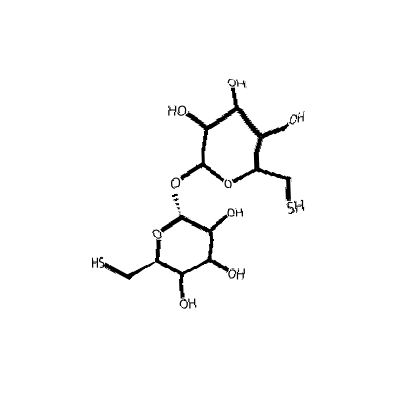 OC1C(CS)OC(O[C@H]2O[C@H](CS)C(O)C(O)C2O)C(O)C1O